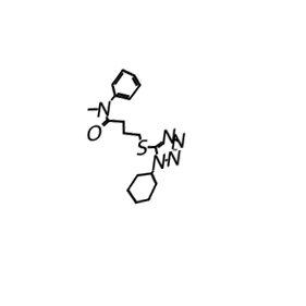 CN(C(=O)CCCSc1nnnn1C1CCCCC1)c1ccccc1